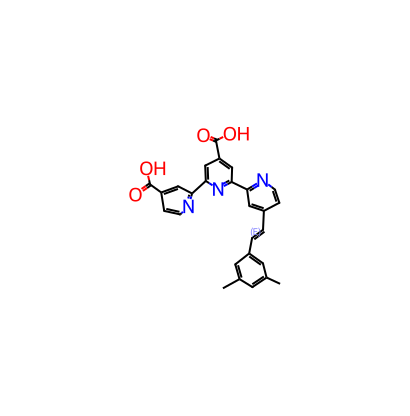 Cc1cc(C)cc(/C=C/c2ccnc(-c3cc(C(=O)O)cc(-c4cc(C(=O)O)ccn4)n3)c2)c1